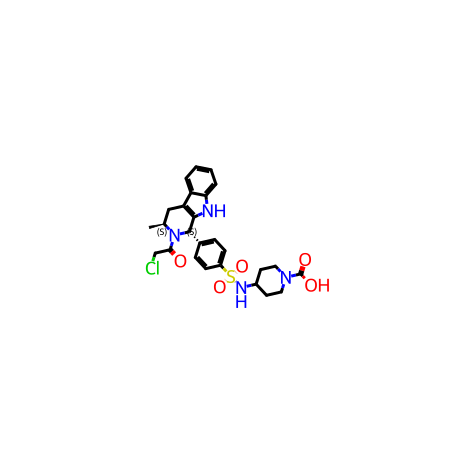 C[C@H]1Cc2c([nH]c3ccccc23)[C@H](c2ccc(S(=O)(=O)NC3CCN(C(=O)O)CC3)cc2)N1C(=O)CCl